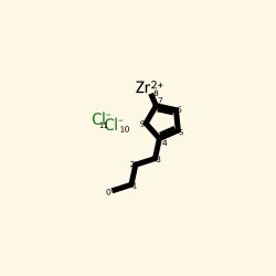 CCCCC1=CC=[C]([Zr+2])C1.[Cl-].[Cl-]